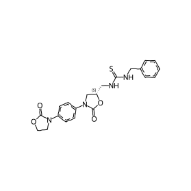 O=C1OCCN1c1ccc(N2C[C@H](CNC(=S)NCc3ccccc3)OC2=O)cc1